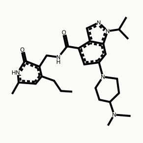 CCCc1cc(C)[nH]c(=O)c1CNC(=O)c1cc(N2CCC(N(C)C)CC2)cc2c1cnn2C(C)C